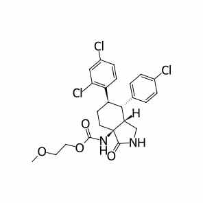 COCCOC(=O)N[C@@]12CC[C@@H](c3ccc(Cl)cc3Cl)[C@H](c3ccc(Cl)cc3)[C@@H]1CNC2=O